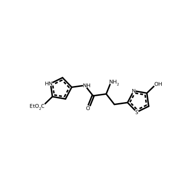 CCOC(=O)c1cc(NC(=O)C(N)Cc2nc(O)cs2)c[nH]1